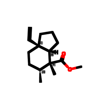 C=C[C@@]12CCC[C@@H]1[C@](C)(C(=O)OC)[C@H](C)CC2